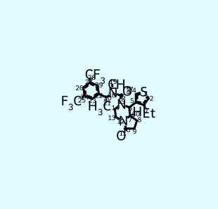 CCc1cscc1C1[C@@H]2CCC(=O)N2CCN1C(=O)N(C)[C@H](C)c1cc(C(F)(F)F)cc(C(F)(F)F)c1